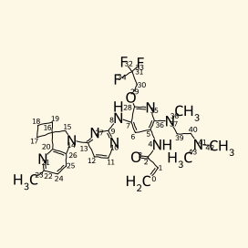 C=CC(=O)Nc1cc(Nc2nccc(N3CC4(CCC4)c4nc(C)ccc43)n2)c(OCC(F)(F)F)nc1N(C)CCN(C)C